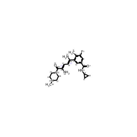 Cc1c(F)cc(C(=O)NC2CC2)cc1/C(N)=C/C=C(\N)C(=O)N1CCN(C)CC1